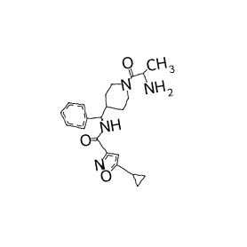 CC(N)C(=O)N1CCC([C@@H](NC(=O)c2cc(C3CC3)on2)c2ccccc2)CC1